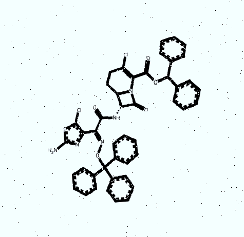 Nc1nc(C(=NOC(c2ccccc2)(c2ccccc2)c2ccccc2)C(=O)N[C@H]2C(=O)N3C(C(=O)OC(c4ccccc4)c4ccccc4)=C(Cl)CCC23)c(Cl)s1